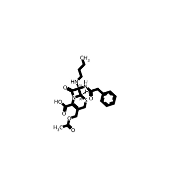 CCCCN[C@]1(NC(=O)Cc2ccccc2)C(=O)N2C(C(=O)O)=C(COC(C)=O)CS[C@@H]21